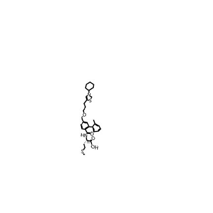 CSCC[C@H](NC(=O)c1ccc(COCCCC2=CN(C3CCCCC3)CS2)cc1-c1ccccc1C)C(=O)O